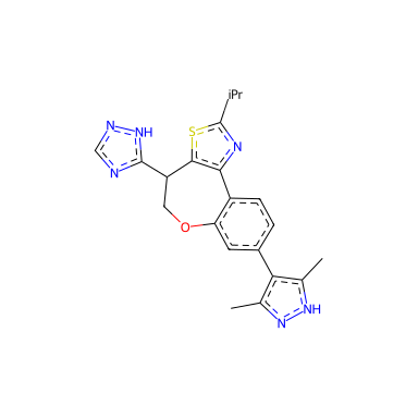 Cc1n[nH]c(C)c1-c1ccc2c(c1)OCC(c1ncn[nH]1)c1sc(C(C)C)nc1-2